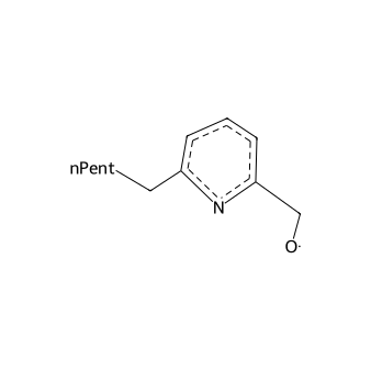 CCCCCCc1cccc(C[O])n1